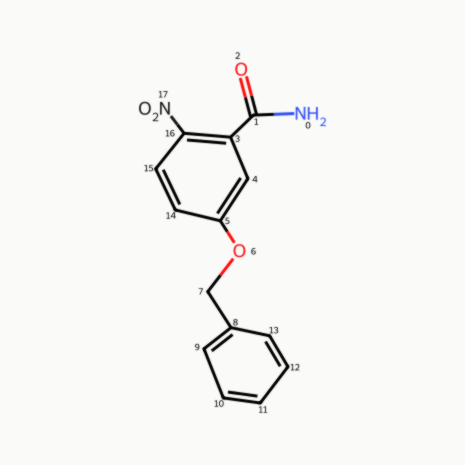 NC(=O)c1cc(OCc2ccccc2)ccc1[N+](=O)[O-]